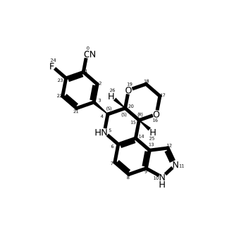 N#Cc1cc([C@@H]2Nc3ccc4[nH]ncc4c3[C@H]3OCCO[C@H]32)ccc1F